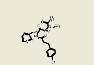 NC(=O)[C@H](CO)NC(=O)[C@@H](Cc1cccnc1)NC(=O)CCc1ccc(Cl)cc1